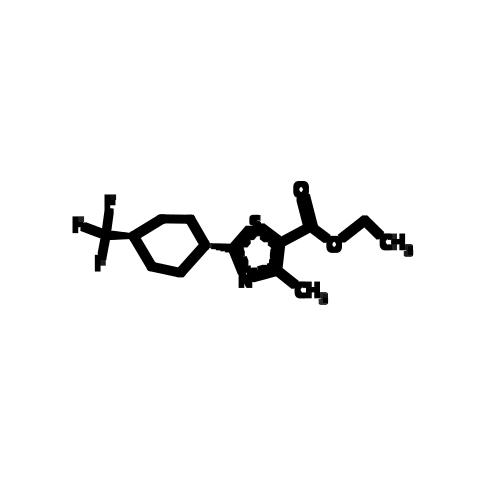 CCOC(=O)c1sc([C@H]2CC[C@H](C(F)(F)F)CC2)nc1C